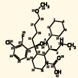 CNC[C@H](CC1CCCCC1)C1C([C@@](O)(CCCCOC)c2cccc(Cl)c2F)CCCN1C(=O)O